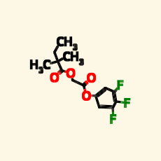 CCC(C)(C)C(=O)OCC(=O)Oc1cc(F)c(F)c(F)c1